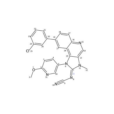 COc1ccc(-n2/c(=N\C#N)n(C)c3cnc4ccc(-c5cccc(Cl)c5)cc4c32)cn1